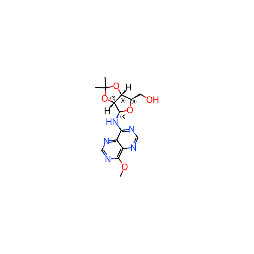 COc1ncnc2c(N[C@@H]3O[C@H](CO)[C@H]4OC(C)(C)O[C@H]43)ncnc12